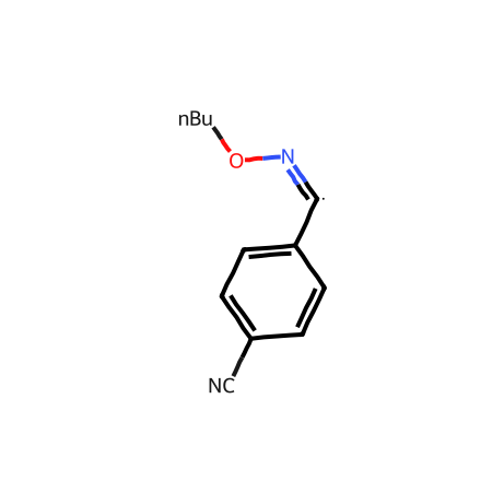 CCCCO/N=[C]\c1ccc(C#N)cc1